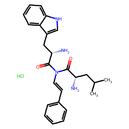 CC(C)C[C@H](N)C(=O)N(C=Cc1ccccc1)C(=O)[C@@H](N)Cc1c[nH]c2ccccc12.Cl